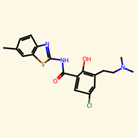 Cc1ccc2nc(NC(=O)c3cc(Cl)cc(CCN(C)C)c3O)sc2c1